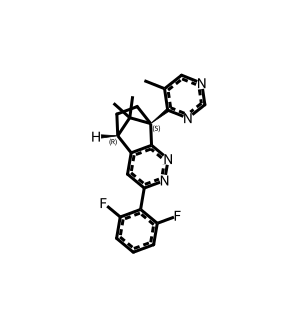 Cc1cncnc1[C@@]12CC[C@@H](c3cc(-c4c(F)cccc4F)nnc31)C2(C)C